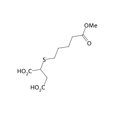 COC(=O)CCCCSC(CC(=O)O)C(=O)O